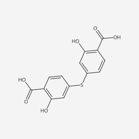 O=C(O)c1ccc(Sc2ccc(C(=O)O)c(O)c2)cc1O